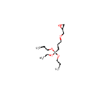 CCCO[Si](CCCOCC1CO1)(OCC)OCCC